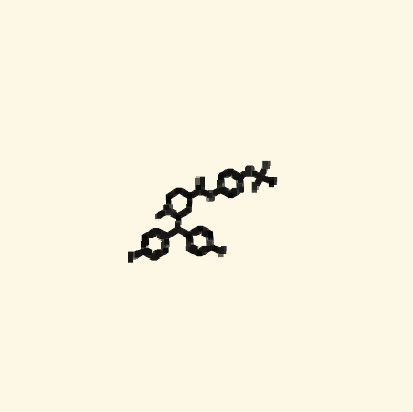 CN1CCC(NSc2ccc(OC(F)(F)F)cc2)CC1C(c1ccc(F)cc1)c1ccc(F)cc1